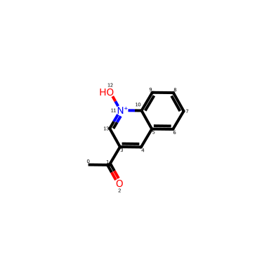 CC(=O)c1cc2ccccc2[n+](O)c1